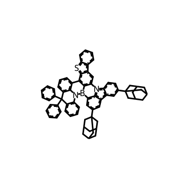 c1ccc(C2(c3ccccc3)c3ccccc3N3B4c5c(cc6c(sc7ccccc76)c5-c5cccc2c53)-n2c3ccc(C56CC7CC(CC(C7)C5)C6)cc3c3cc(C56CC7CC(CC(C7)C5)C6)cc4c32)cc1